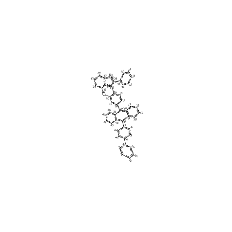 c1ccc(-c2ccc(-c3c4ccccc4c(-c4ccc5c(c4)Oc4cccc6nc(-c7ccccc7)n-5c46)c4ccccc34)cc2)cc1